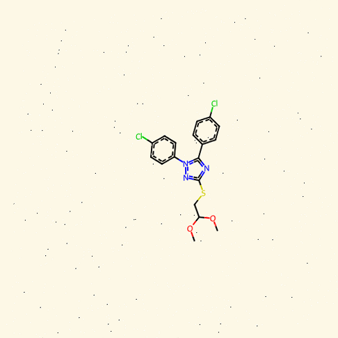 COC(CSc1nc(-c2ccc(Cl)cc2)n(-c2ccc(Cl)cc2)n1)OC